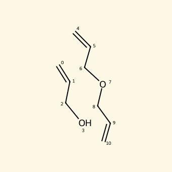 C=CCO.C=CCOCC=C